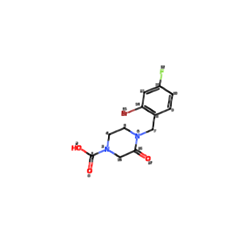 O=C(O)N1CCN(Cc2ccc(F)cc2Br)C(=O)C1